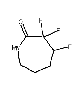 O=C1NCCCC(F)C1(F)F